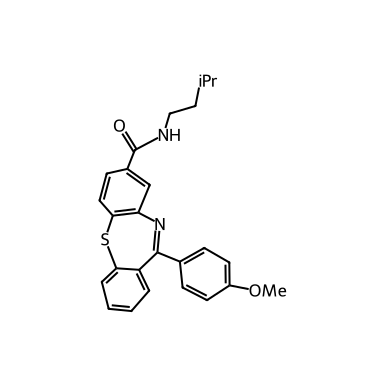 COc1ccc(C2=Nc3cc(C(=O)NCCC(C)C)ccc3Sc3ccccc32)cc1